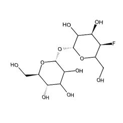 OCC1O[C@H](O[C@H]2O[C@H](CO)[C@@H](O)C(O)C2O)C(O)[C@@H](O)[C@H]1F